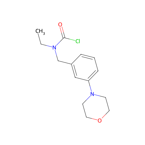 CCN(Cc1cccc(N2CCOCC2)c1)C(=O)Cl